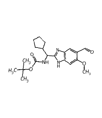 COc1cc2[nH]c(C(NC(=O)OC(C)(C)C)C3CCCC3)nc2cc1C=O